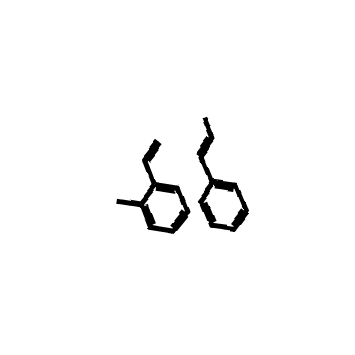 C=Cc1ccccc1C.CC=Cc1ccccc1